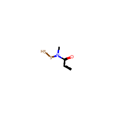 C=CC(=O)N(C)SS